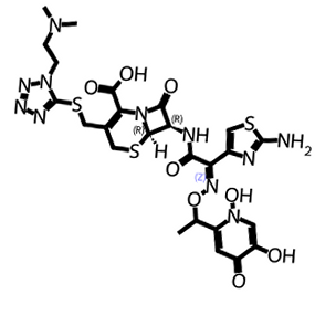 CC(O/N=C(\C(=O)N[C@@H]1C(=O)N2C(C(=O)O)=C(CSc3nnnn3CCN(C)C)CS[C@H]12)c1csc(N)n1)c1cc(=O)c(O)cn1O